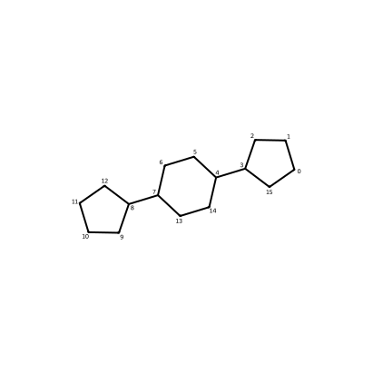 C1CCC(C2CCC(C3CCCC3)CC2)C1